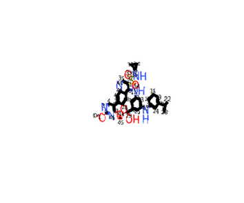 COc1ncc(-c2ccc3c(Nc4cc(Nc5cccc(C(C)C)c5)cc(C(=O)O)c4)c(S(=O)(=O)NC4CC4)cnc3c2)c(OC)n1